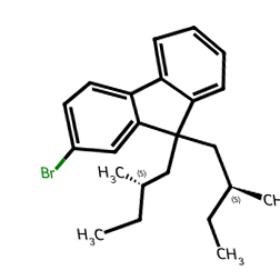 CC[C@H](C)CC1(C[C@@H](C)CC)c2ccccc2-c2ccc(Br)cc21